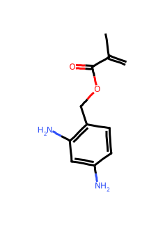 C=C(C)C(=O)OCc1ccc(N)cc1N